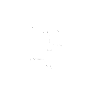 COC(C)=O.N=C(N)N.c1c[nH]cn1